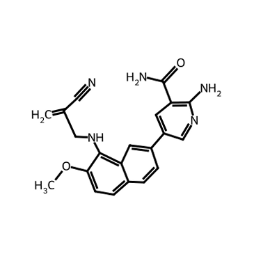 C=C(C#N)CNc1c(OC)ccc2ccc(-c3cnc(N)c(C(N)=O)c3)cc12